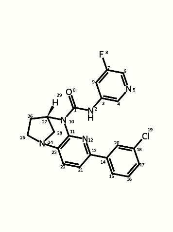 O=C(Nc1cncc(F)c1)N1c2nc(-c3cccc(Cl)c3)ccc2N2CC[C@H]1C2